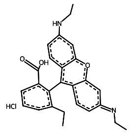 CCN=c1ccc2c(-c3c(CC)cccc3C(=O)O)c3ccc(NCC)cc3oc-2c1.Cl